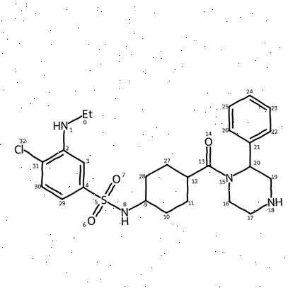 CCNc1cc(S(=O)(=O)NC2CCC(C(=O)N3CCNCC3c3ccccc3)CC2)ccc1Cl